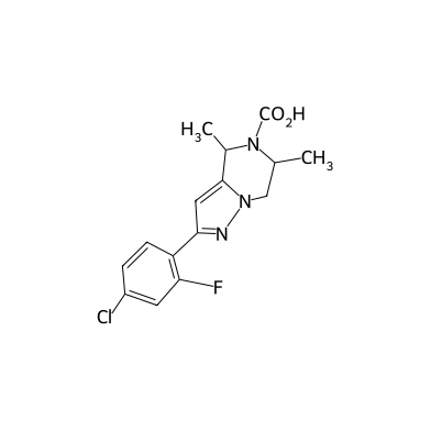 CC1Cn2nc(-c3ccc(Cl)cc3F)cc2C(C)N1C(=O)O